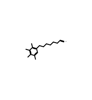 [CH]=CCCCCCCc1cc(C)c(C)c(C)c1C